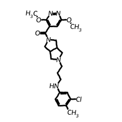 COc1cc(C(=O)N2CC3CN(CCCNc4ccc(C)c(Cl)c4)CC3C2)c(OC)nn1